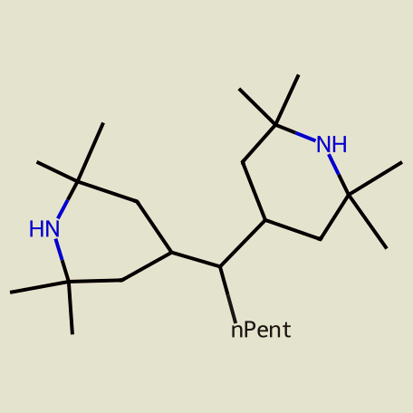 CCCCCC(C1CC(C)(C)NC(C)(C)C1)C1CC(C)(C)NC(C)(C)C1